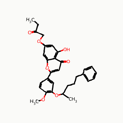 CCC(=O)COc1cc(O)c2c(=O)cc(-c3ccc(OC)c(OC(C)CCCc4ccccc4)c3)oc2c1